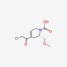 COC[C@@H]1CC(C(=O)CCl)=CCN1C(=O)O